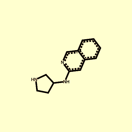 c1ccc2cc(NC3CCNC3)ncc2c1